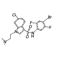 CN(C)CCn1cc(S(=O)(=O)Nc2cc(F)c(Br)cc2F)c2ccc(Cl)cc21